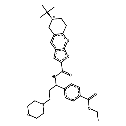 CCOC(=O)c1ccc(C(CCN2CCOCC2)NC(=O)c2cc3cc4c(nc3s2)CC[C@H](C(C)(C)C)C4)cc1